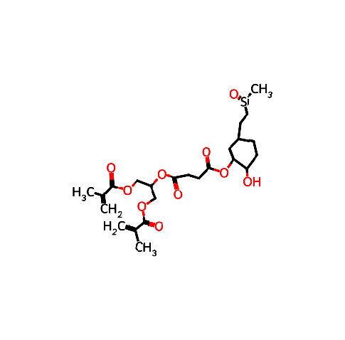 C=C(C)C(=O)OCC(COC(=O)C(=C)C)OC(=O)CCC(=O)OC1CC(CC[Si](C)=O)CCC1O